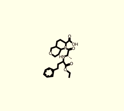 CCOC(=O)C(CCc1ccccc1)N[C@@H](C)C(=O)N1C(C(=O)O)CCC2COCCC21